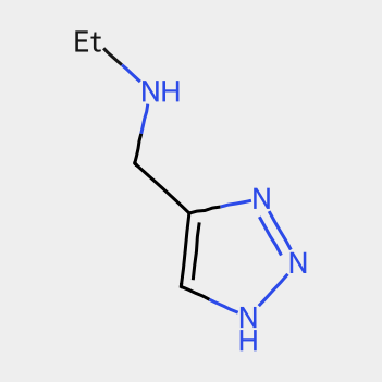 CCNCc1c[nH]nn1